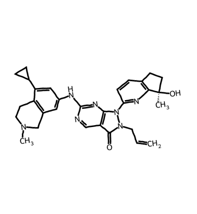 C=CCn1c(=O)c2cnc(Nc3cc4c(c(C5CC5)c3)CCN(C)C4)nc2n1-c1ccc2c(n1)[C@](C)(O)CC2